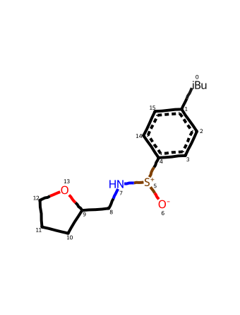 CCC(C)c1ccc([S+]([O-])NCC2CCCO2)cc1